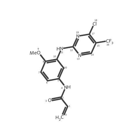 C=CC(=O)Nc1ccc(OC)c(Nc2ncc(C(F)(F)F)c(Cl)n2)c1